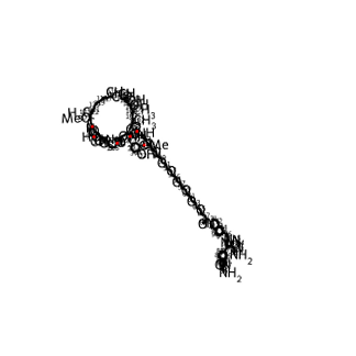 CO[C@H]1C[C@@H]2CC[C@@H](C)[C@@](O)(O2)C(=O)C(=O)N2CCCC[C@H]2C(=O)O[C@H]([C@H](N)C[C@@H]2CC[C@@H](O)[C@H](OC)C2)C[C@@H](OC(=O)NCCOCCOCCOCCOCCOCCOCCOCCOCCC(=O)N2CCc3cc(Cn4nc(-c5ccc6oc(N)nc6c5)c5c(N)ncnc54)ccc3C2)[C@H](C)/C=C(\C)[C@@H](O)[C@@H](O)C(=O)[C@H](C)C[C@H](C)/C=C/C=C/C=C/1C